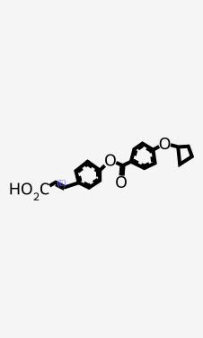 O=C(O)/C=C/c1ccc(OC(=O)c2ccc(OC3CCC3)cc2)cc1